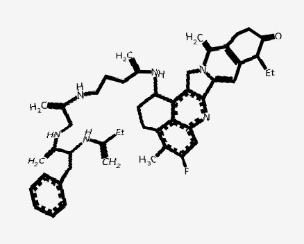 C=C(CNC(=C)C(Cc1ccccc1)NC(=C)CC)NCCCC(=C)NC1CCc2c(C)c(F)cc3nc4c(c1c23)CN1C(=C)C2=C(C=C41)C(CC)C(=O)CC2